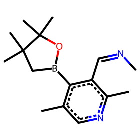 C/N=C\c1c(C)ncc(C)c1B1CC(C)(C)C(C)(C)O1